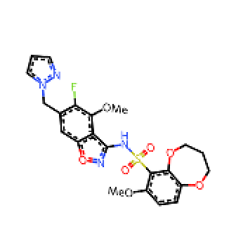 COc1ccc2c(c1S(=O)(=O)Nc1noc3cc(Cn4cccn4)c(F)c(OC)c13)OCCCO2